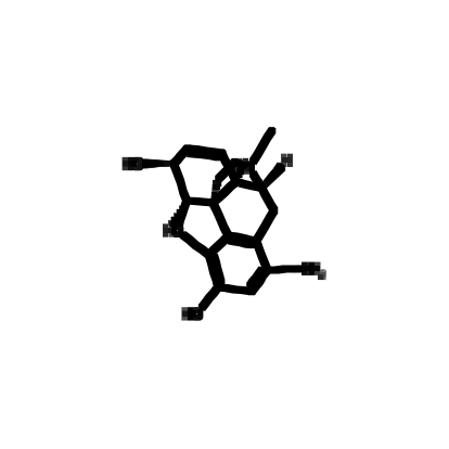 Bc1cc(O)c2c3c1C[C@@H]1[C@@H]4C=C[C@H](O)[C@H](O2)[C@]34CCN1C